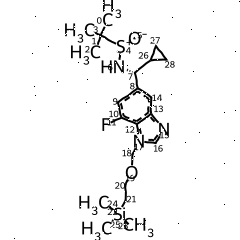 CC(C)(C)[S@+]([O-])N[C@@H](c1cc(F)c2c(c1)ncn2COCC[Si](C)(C)C)C1CC1